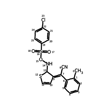 Cc1ccccc1/C(C#N)=C1\C=CSC1NOS(=O)(=O)c1ccc(Cl)cc1